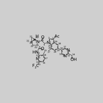 CC(=O)c1cn(CC(=O)N2[C@H](C(=O)Nc3nc(C(F)(F)F)ccc3C)C[C@@]3(C)C[C@@H]23)c2c(C)cc(-c3cnc(CO)nc3)cc12